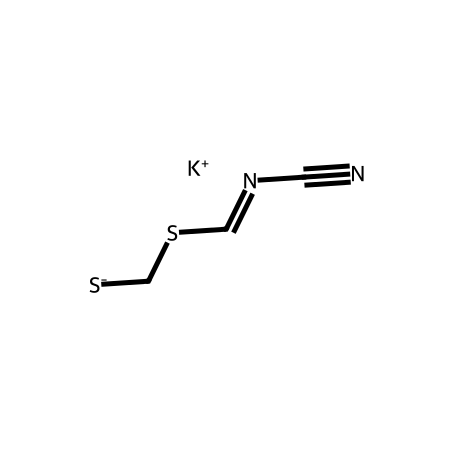 N#CN=CSC[S-].[K+]